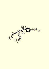 COCCN(CCOC)CC(=O)N(C)c1ccc(N)cc1